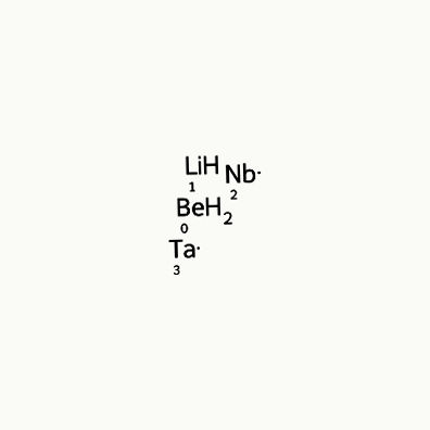 [BeH2].[LiH].[Nb].[Ta]